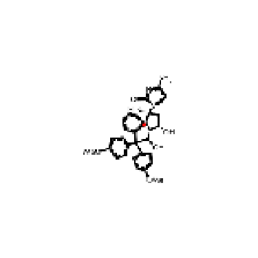 COc1ccc(C(c2ccccc2)(c2ccc(OC)cc2)C(O)[C@H]2O[C@@](N)(n3ccc(N)nc3=O)C[C@@H]2O)cc1